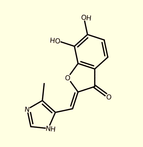 Cc1nc[nH]c1C=C1Oc2c(ccc(O)c2O)C1=O